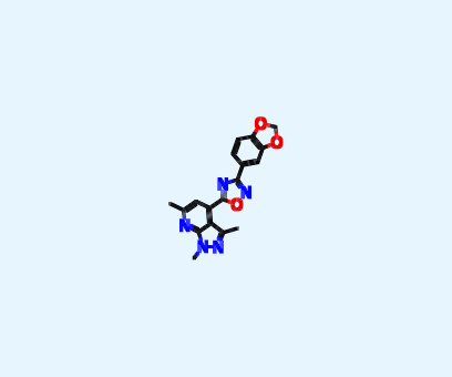 Cc1cc(-c2nc(-c3ccc4c(c3)OCO4)no2)c2c(C)nn(C)c2n1